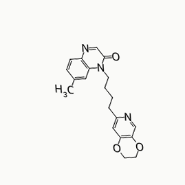 Cc1ccc2ncc(=O)n(CCCCc3cc4c(cn3)OCCO4)c2c1